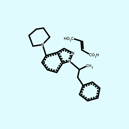 CC(Cc1ccccc1)n1ncc2c(N3CCCCC3)cccc21.O=C(O)C=CC(=O)O